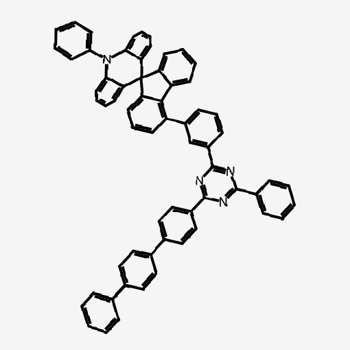 c1ccc(-c2ccc(-c3ccc(-c4nc(-c5ccccc5)nc(-c5cccc(-c6cccc7c6-c6ccccc6C76c7ccccc7N(c7ccccc7)c7ccccc76)c5)n4)cc3)cc2)cc1